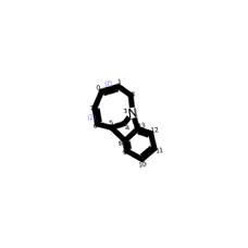 C1=C\CN2CC(\C=C/1)c1ccccc12